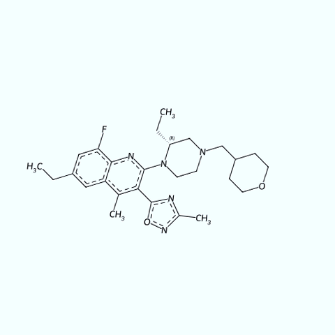 CCc1cc(F)c2nc(N3CCN(CC4CCOCC4)C[C@H]3CC)c(-c3nc(C)no3)c(C)c2c1